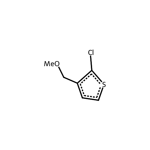 COCc1ccsc1Cl